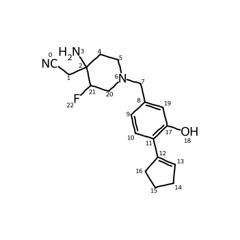 N#CCC1(N)CCN(Cc2ccc(C3=CCCC3)c(O)c2)CC1F